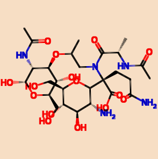 CC(=O)N[C@@H]1[C@@H](OC(C)CN(C(=O)[C@H](C)NC(C)=O)[C@](CCC(N)=O)(C(=O)O)C2O[C@H](CO)[C@@H](O)[C@H](O)[C@H]2N)[C@H](O)[C@@H](CO)O[C@@H]1O